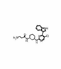 NCCC(=O)N[C@H]1CCC[C@@H](Nc2ncc(Cl)c(-c3c[nH]c4ccccc34)n2)C1